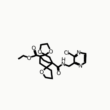 CCOC(=O)C12CCC(C(=O)NCc3nccnc3Cl)(CC13OCCO3)C1(CCCO1)C2